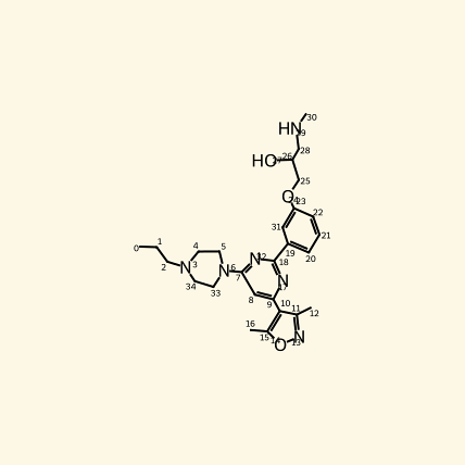 CCCN1CCN(c2cc(-c3c(C)noc3C)nc(-c3cccc(OCC(O)CNC)c3)n2)CC1